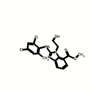 COC(=O)c1cccc2nc(Nc3c(C)cc(Cl)cc3Cl)n(CCO)c12